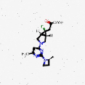 COC(=O)CC1(F)[C@@H]2CN(c3cc(C(F)(F)F)nc(N4CC[C@@H]4C)n3)C[C@@H]21